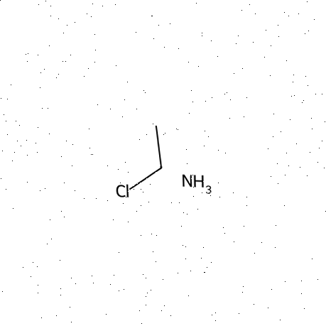 CCCl.N